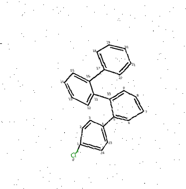 Clc1ccc(-c2ccccc2-c2ccccc2-c2ccccc2)cc1